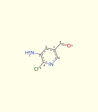 Nc1cc(C=O)cnc1Cl